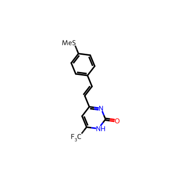 CSc1ccc(C=Cc2cc(C(F)(F)F)[nH]c(=O)n2)cc1